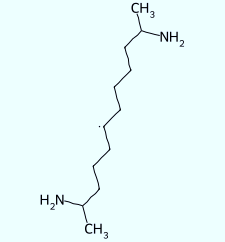 CC(N)CCC[CH]CCCCC(C)N